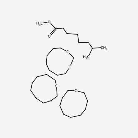 C1CCCCCCCCC1.C1CCCCCCCCC1.C1CCCCCCCCC1.COC(=O)CCCCCC(C)C